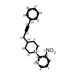 O=[N+]([O-])c1cccnc1N1CCC(CC#Cc2ccccc2)CC1